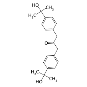 CC(C)(O)c1ccc(CC(=O)Cc2ccc(C(C)(C)O)cc2)cc1